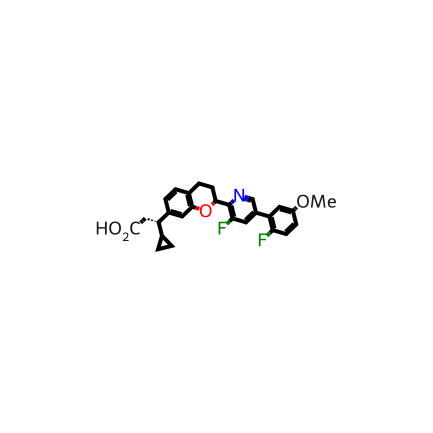 COc1ccc(F)c(-c2cnc(C3CCc4ccc([C@@H](CC(=O)O)C5CC5)cc4O3)c(F)c2)c1